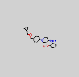 OC1CCCC1NC1CCN([C@H]2CC[C@H](COCC3CC3)CC2)CC1